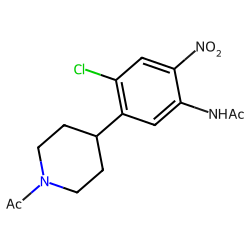 CC(=O)Nc1cc(C2CCN(C(C)=O)CC2)c(Cl)cc1[N+](=O)[O-]